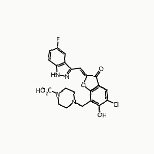 O=C1C(=Cc2n[nH]c3ccc(F)cc23)Oc2c1cc(Cl)c(O)c2CN1CCN(C(=O)O)CC1